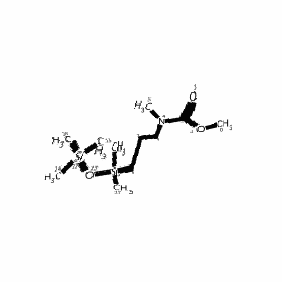 COC(=O)N(C)CCC[Si](C)(C)O[Si](C)(C)C